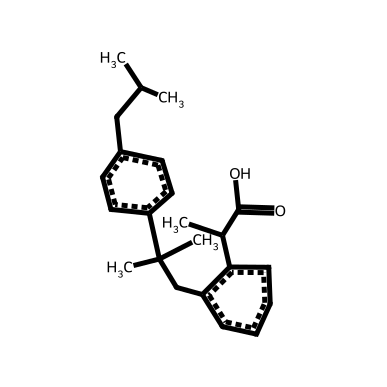 CC(C)Cc1ccc(C(C)(C)Cc2ccccc2C(C)C(=O)O)cc1